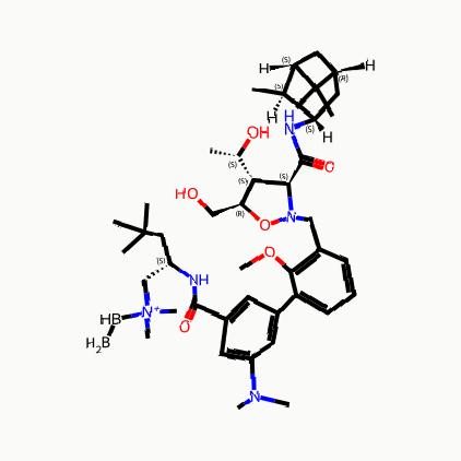 BB[N+](C)(C)C[C@H](CC(C)(C)C)NC(=O)c1cc(-c2cccc(CN3O[C@@H](CO)[C@H]([C@H](C)O)[C@H]3C(=O)N[C@H]3C[C@H]4C[C@@H]([C@@H]3C)C4(C)C)c2OC)cc(N(C)C)c1